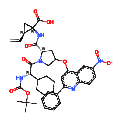 C=C[C@H]1C[C@]1(NC(=O)[C@@H]1CC(Oc2cc(-c3ccccc3)nc3ccc([N+](=O)[O-])cc23)CN1C(=O)[C@@H](NC(=O)OC(C)(C)C)C1CCCCC1)C(=O)O